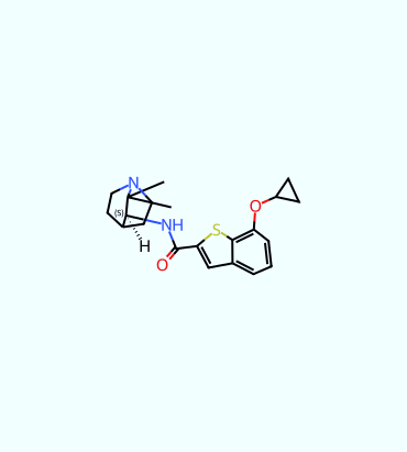 CC1(C)[C@@H](NC(=O)c2cc3cccc(OC4CC4)c3s2)C2CCN1CC2